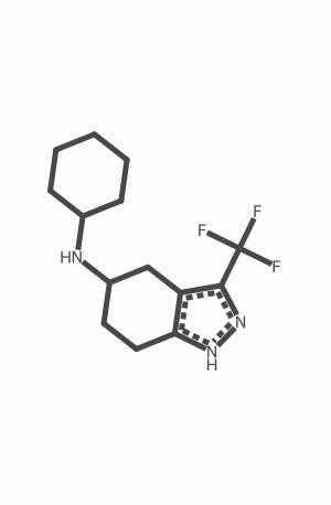 FC(F)(F)c1n[nH]c2c1CC(NC1CCCCC1)CC2